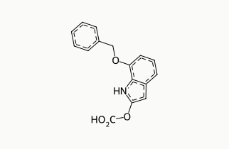 O=C(O)Oc1cc2cccc(OCc3ccccc3)c2[nH]1